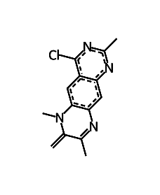 C=C1C(C)=Nc2cc3nc(C)nc(Cl)c3cc2N1C